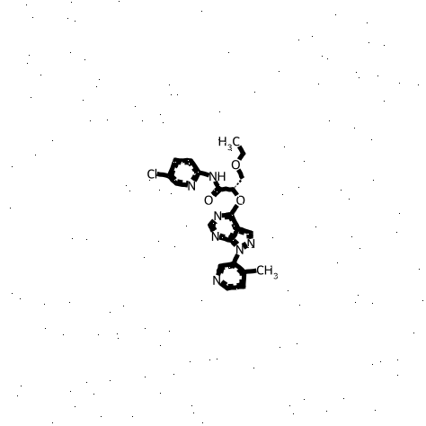 CCOC[C@H](Oc1ncnc2c1cnn2-c1cnccc1C)C(=O)Nc1ccc(Cl)cn1